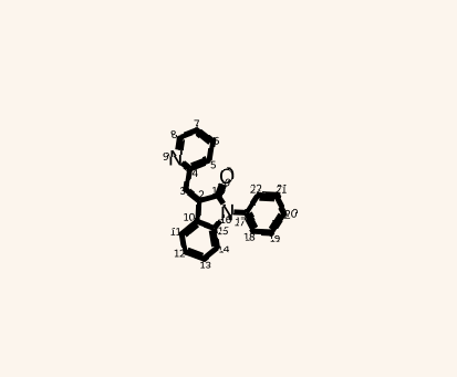 O=C1C(Cc2ccccn2)c2ccccc2N1c1ccccc1